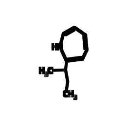 CCC(C)C1=CC=CC=CN1